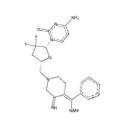 CN/C(=C1/CCN(C[C@@H]2CC(F)(F)[C@H](n3ccc(N)nc3=O)O2)CC1=N)c1ccccc1